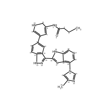 CCCC(=O)NC1=CC(c2ccc3[nH]nc(-c4nc5c(-n6cnc(C)c6)cncc5[nH]4)c3c2)=CNC1